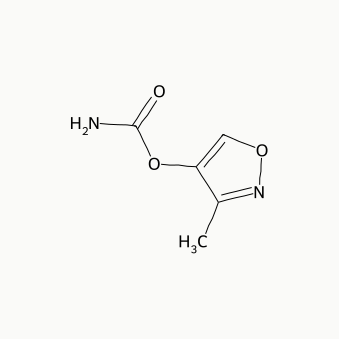 Cc1nocc1OC(N)=O